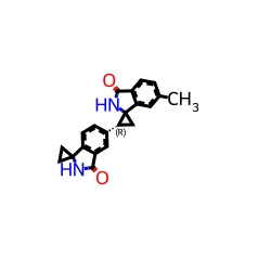 Cc1ccc2c(c1)C1(C[C@@H]1c1ccc3c(c1)C(=O)NC31CC1)NC2=O